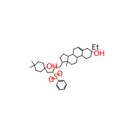 CC[C@]1(O)CCC2C(=CCC3C2CCC2(C)C(CCC(CC4(O)CCC(C)(C)CC4)S(=O)(=O)c4ccccc4)CCC32)C1